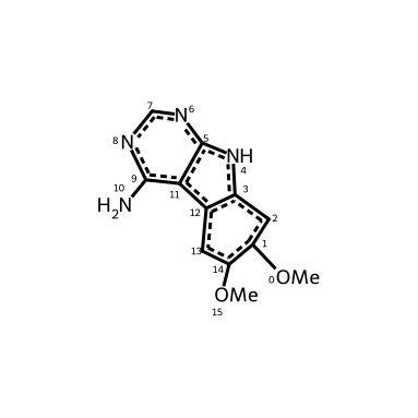 COc1cc2[nH]c3ncnc(N)c3c2cc1OC